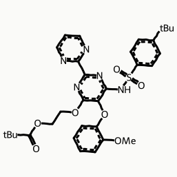 COc1ccccc1Oc1c(NS(=O)(=O)c2ccc(C(C)(C)C)cc2)nc(-c2ncccn2)nc1OCCOC(=O)C(C)(C)C